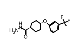 NNC(=O)[C@H]1CC[C@H](Oc2cccc(C(F)(F)F)c2)CC1